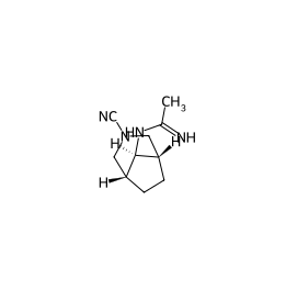 CC(=N)N[C@@H]1[C@@H]2CC[C@H]1CN(C#N)C2